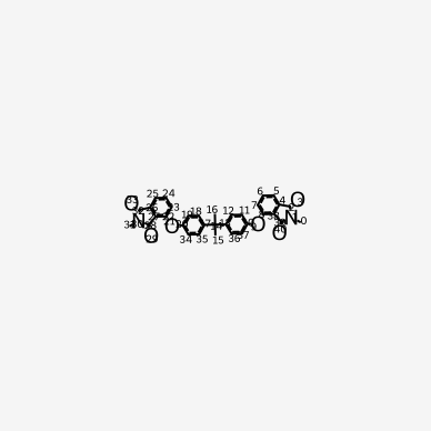 CN1C(=O)c2cccc(Oc3ccc(C(C)(C)c4ccc(Oc5cccc6c5C(=O)N(C)C6=O)cc4)cc3)c2C1=O